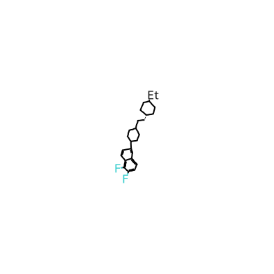 CC[C@H]1CC[C@H](CCC2CCC(c3ccc4c(F)c(F)ccc4c3)CC2)CC1